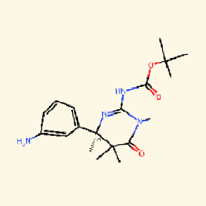 CN1C(=O)C(C)(C)[C@@](C)(c2cccc(N)c2)N=C1NC(=O)OC(C)(C)C